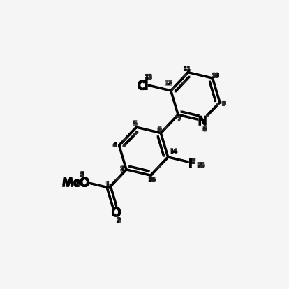 COC(=O)c1ccc(-c2ncccc2Cl)c(F)c1